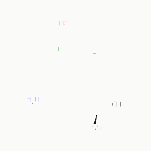 CN[C@H](C)c1cc(N)cc(C(F)(F)CO)c1